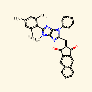 Cc1cc(C)c(-c2nc3c(nc(C=C4C(=O)c5cc6ccccc6cc5C4=O)n3-c3ccccc3)n2C)c(C)c1